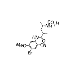 COc1cc(NC(=O)C(C)CC(C)NC(=O)O)c(C#N)cc1Br